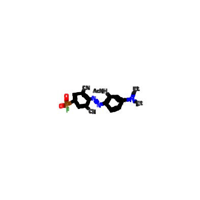 CCN(CC)c1ccc(N=Nc2c(C#N)cc(S(=O)(=O)F)cc2C#N)c(NC(C)=O)c1